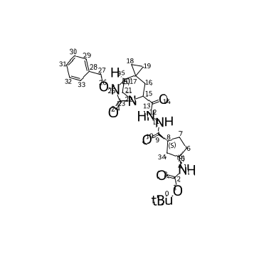 CC(C)(C)OC(=O)N[C@@H]1CC[C@H](C(=O)NNC(=O)C2CC3(CC3)[C@H]3CN2C(=O)N3OCc2ccccc2)C1